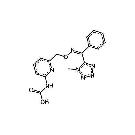 Cn1nnnc1/C(=N\OCc1cccc(NC(=O)O)n1)c1ccccc1